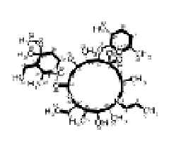 CCCN1C[C@H](C)C[C@@](C)(O)[C@H](O[C@@H]2O[C@H](C)CC[C@H]2O)[C@@H](C)[C@H](O[C@H]2C[C@@](C)(OC)C(CO)[C@H](C)O2)[C@@H](C)C(=O)O[C@H](CC)[C@H](C)[C@H](O)[C@H]1C